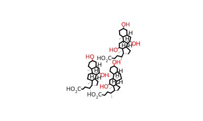 C[C@H](CCC(=O)O)[C@H]1CC[C@H]2[C@@H]3CC[C@@H]4C[C@H](O)CC[C@]4(C)[C@H]3C[C@H](O)[C@]12C.C[C@H](CCC(=O)O)[C@H]1CC[C@H]2[C@@H]3[C@H](O)C[C@@H]4C[C@H](O)CC[C@]4(C)[C@H]3CC[C@]12C.C[C@H](CCC(=O)O)[C@H]1CC[C@H]2[C@@H]3[C@H](O)C[C@@H]4C[C@H](O)CC[C@]4(C)[C@H]3C[C@H](O)[C@]12C